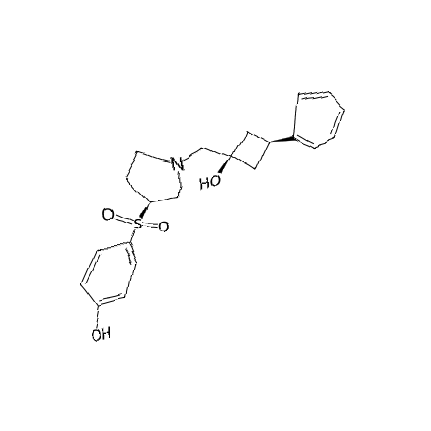 O=S(=O)(c1ccc(O)cc1)[C@H]1CCN(C[C@]2(O)C[C@@H](c3ccccc3)C2)C1